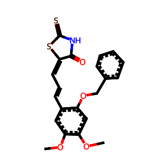 COc1cc(C=CC=C2SC(=S)NC2=O)c(OCc2ccccc2)cc1OC